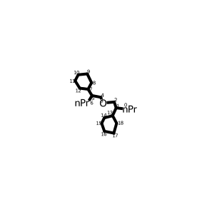 CCCC(COCC(CCC)C1CCCCC1)C1CCCCC1